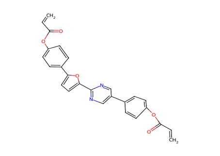 C=CC(=O)Oc1ccc(-c2cnc(-c3ccc(-c4ccc(OC(=O)C=C)cc4)o3)nc2)cc1